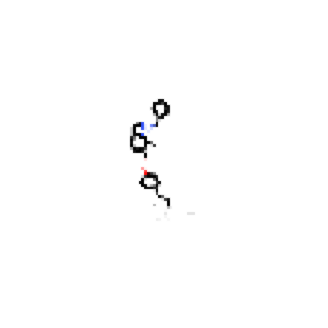 C=C[C@@H](CC(=O)O)c1ccc(OCc2ccc3ccn(Cc4ccccc4)c3c2C)cc1